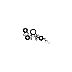 N=S(=O)(N[C@@H]1CCCCC[C@@H](N2c3ccccc3Oc3ccccc32)[C@H]1O)c1ccc(OC(F)(F)F)cc1